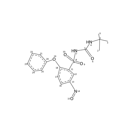 CC(C)(C)NC(=O)NS(=O)(=O)c1cc(N=O)ccc1Oc1ccccc1